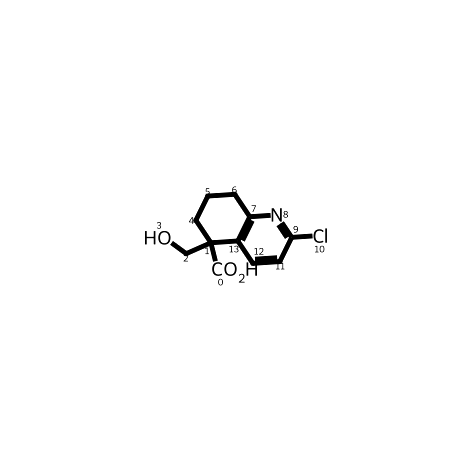 O=C(O)C1(CO)CCCc2nc(Cl)ccc21